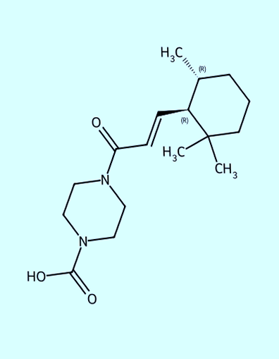 C[C@@H]1CCCC(C)(C)[C@H]1C=CC(=O)N1CCN(C(=O)O)CC1